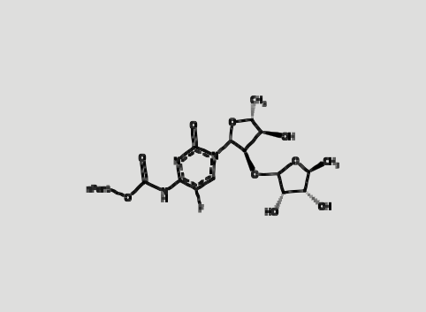 CCCCCOC(=O)Nc1nc(=O)n(C2O[C@H](C)[C@@H](O)[C@H]2OC2O[C@@H](C)[C@H](O)[C@@H]2O)cc1F